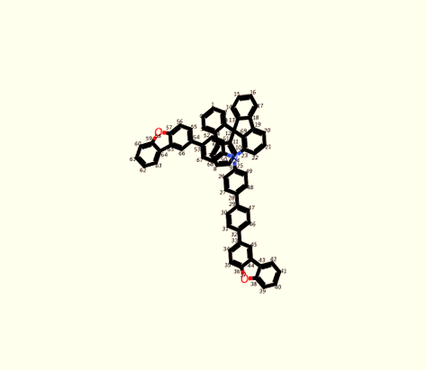 c1ccc2c(c1)-c1ccccc1C21c2ccccc2-c2cccc(N(c3ccc(-c4ccc(-c5ccc6oc7ccccc7c6c5)cc4)cc3)c3ccc(-c4ccc5oc6ccccc6c5c4)cc3)c21